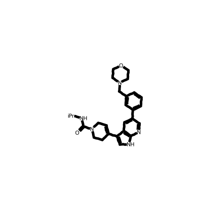 CC(C)NC(=O)N1CC=C(c2c[nH]c3ncc(-c4cccc(CN5CCOCC5)c4)cc23)CC1